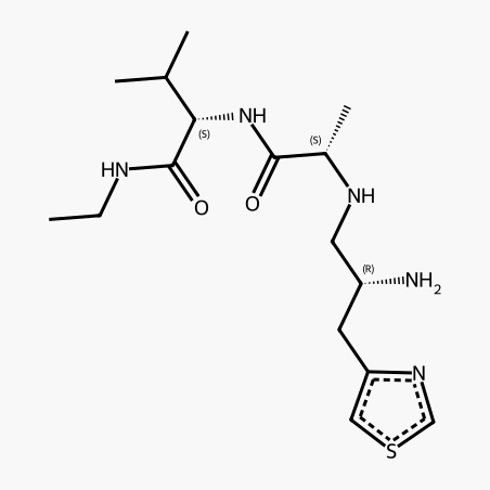 CCNC(=O)[C@@H](NC(=O)[C@H](C)NC[C@H](N)Cc1cscn1)C(C)C